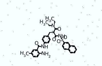 CCN(CC)C(=O)[C@H](Cc1ccc(NC(=O)c2cc(C)ccc2N)cc1)C(=O)NS(=O)(=O)c1ccc2ccccc2c1